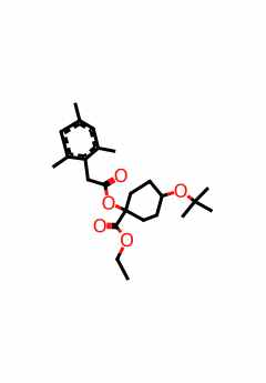 CCOC(=O)C1(OC(=O)Cc2c(C)cc(C)cc2C)CCC(OC(C)(C)C)CC1